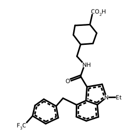 CCn1cc(C(=O)NCC2CCC(C(=O)O)CC2)c2c(Cc3ccc(C(F)(F)F)cc3)cccc21